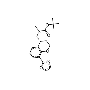 CN(C[C@@H]1CCOc2c(-c3ncco3)cccc21)C(=O)OC(C)(C)C